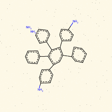 N.N.Nc1ccc(-c2cc(-c3ccccc3)c(-c3ccc(N)cc3)c(-c3ccccc3)c2-c2ccccc2)cc1